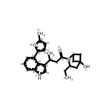 CCC1CC2(O)CC(C2)N1C(=O)CC(C)c1c[nH]c2cccc(-c3ccc(C)o3)c12